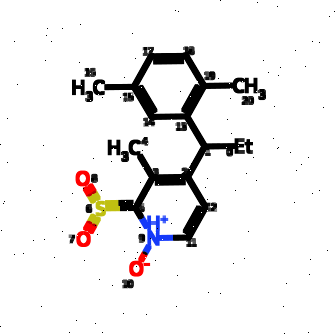 CCC(C1=C(C)C(=S(=O)=O)[NH+]([O-])C=C1)c1cc(C)ccc1C